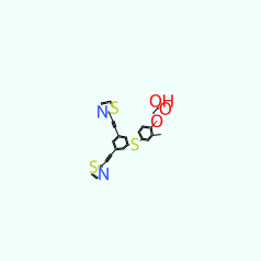 Cc1cc(Sc2cc(C#Cc3nccs3)cc(C#Cc3nccs3)c2)ccc1OCC(=O)O